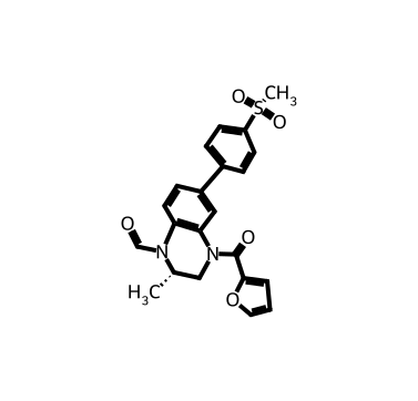 C[C@H]1CN(C(=O)c2ccco2)c2cc(-c3ccc(S(C)(=O)=O)cc3)ccc2N1C=O